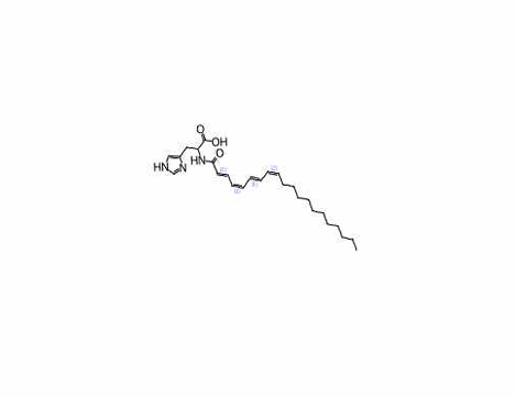 CCCCCCCCCCC\C=C/C=C/C=C\C=C\C(=O)NC(Cc1c[nH]cn1)C(=O)O